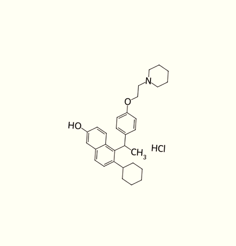 CC(c1ccc(OCCN2CCCCC2)cc1)c1c(C2CCCCC2)ccc2cc(O)ccc12.Cl